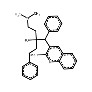 COc1nc2ccccc2cc1C(c1ccccc1)C(O)(CCc1ccccc1)CCN(C)C